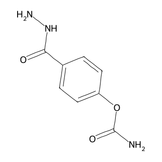 NNC(=O)c1ccc(OC(N)=O)cc1